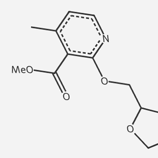 COC(=O)c1c(C)ccnc1OCC1CCCO1